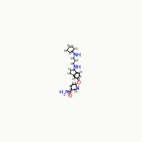 NC(=O)c1ccc(Oc2ccc3c(c2)CCC3NCCCNC2CCCCC2)nc1